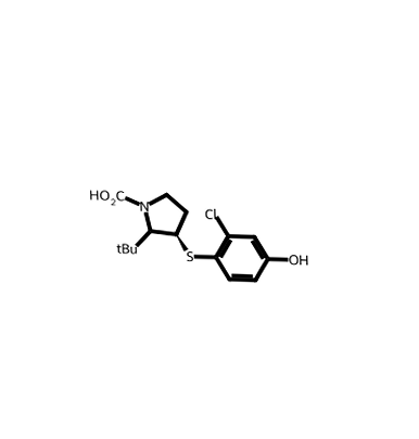 CC(C)(C)C1[C@H](Sc2ccc(O)cc2Cl)CCN1C(=O)O